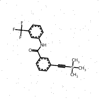 CS(C)(C)C#Cc1cccc(C(=O)Nc2cccc(C(F)(F)F)c2)c1